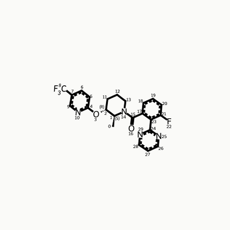 C[C@H]1[C@H](Oc2ccc(C(F)(F)F)cn2)CCCN1C(=O)c1cccc(F)c1-c1ncccn1